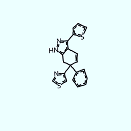 C1=CC(c2ccccc2)(c2cscn2)Cc2[nH]nc(-c3cccs3)c21